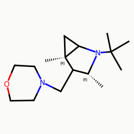 C[C@@H]1C(CN2CCOCC2)[C@@]2(C)CC2N1C(C)(C)C